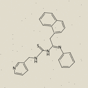 S=C(NCc1cccnc1)NC(Cc1cccc2ccccc12)=Nc1ccccc1